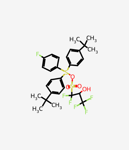 CC(C)(C)c1ccc(S(OS(=O)(=O)C(F)(F)C(O)C(F)(F)F)(c2ccc(F)cc2)c2ccc(C(C)(C)C)cc2)cc1